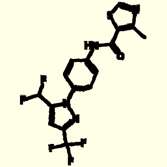 Cc1ncsc1C(=O)Nc1ccc(-n2nc(C(F)(F)F)cc2C(F)F)cc1